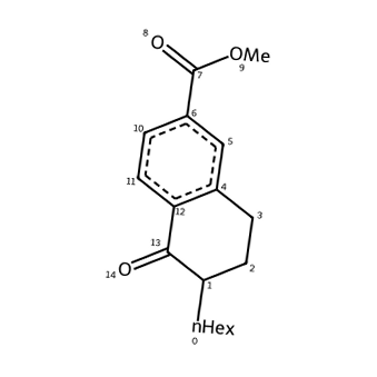 CCCCCCC1CCc2cc(C(=O)OC)ccc2C1=O